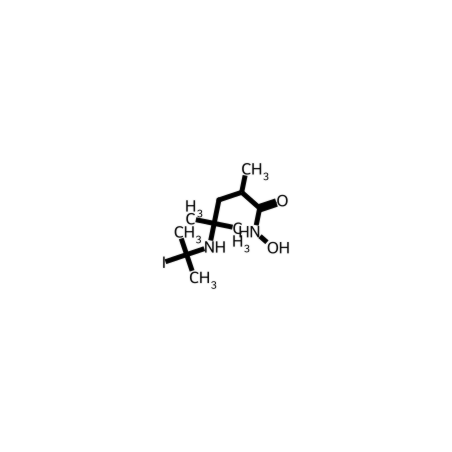 CC(CC(C)(C)NC(C)(C)I)C(=O)NO